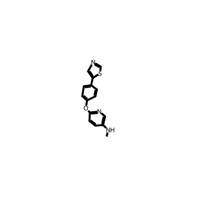 CNc1ccc(Oc2ccc(-c3cncs3)cc2)nc1